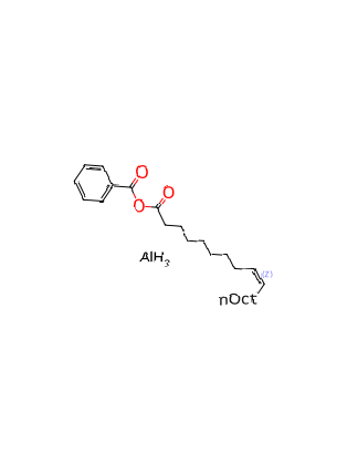 CCCCCCCC/C=C\CCCCCCCC(=O)OC(=O)c1ccccc1.[AlH3]